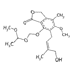 COc1c(C)c2c(c(OCOC(C)OC)c1CC=C(C)CO)C(=O)OC2